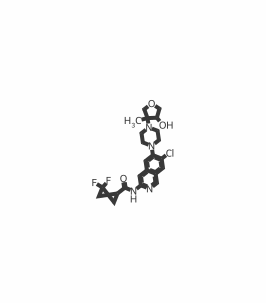 CC1(N2CCN(c3cc4cc(NC(=O)C5CC56CC6(F)F)ncc4cc3Cl)CC2)COCC1O